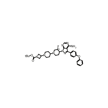 CC(C)(C)OC(=O)N1CC(N2CCC(N3CCC(n4nc(-c5ccc(Oc6ccccc6)cc5)c5c(N)ncnc54)[C@H](F)C3)CC2)C1